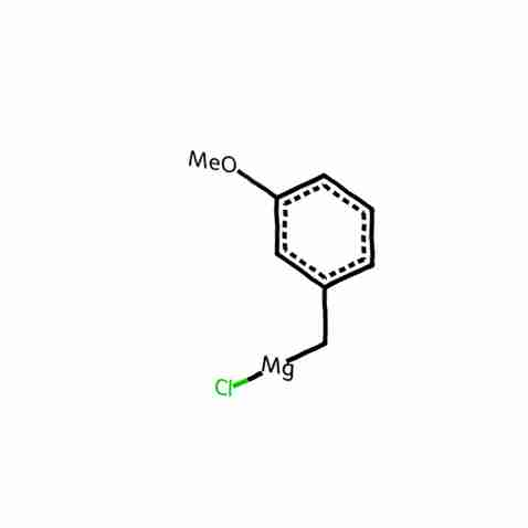 COc1cccc([CH2][Mg][Cl])c1